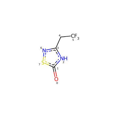 O=c1[nH]c(CC(F)(F)F)ns1